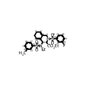 CCOC(=O)CN(CC1=CCCC=C1CN(CC)S(=O)(=O)c1cccc(C)c1)S(=O)(=O)c1cccc(F)c1